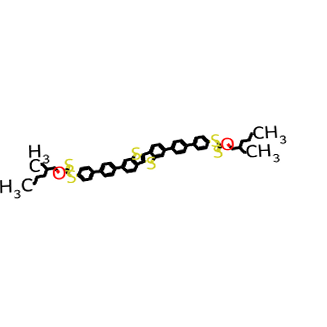 CCCCC(CC)COC(=S)Sc1ccc(-c2ccc(-c3ccc4c(c3)sc3c5ccc(-c6ccc(-c7ccc(SC(=S)OCC(CC)CCCC)cc7)cc6)cc5sc43)cc2)cc1